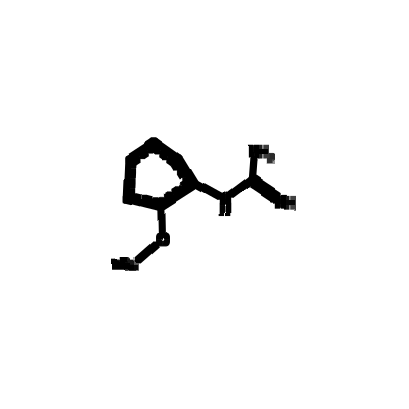 CCCCOc1ccccc1NC(=N)N